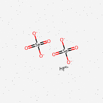 O=[Se](=O)([O-])[O-].O=[Se](=O)([O-])[O-].[Hf+4]